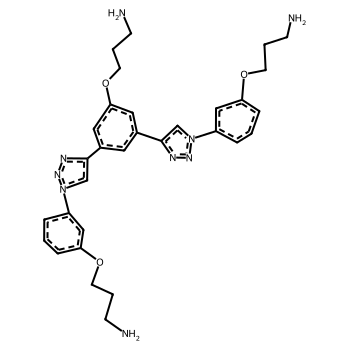 NCCCOc1cc(-c2cn(-c3cccc(OCCCN)c3)nn2)cc(-c2cn(-c3cccc(OCCCN)c3)nn2)c1